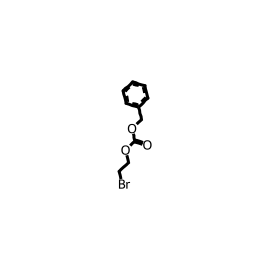 O=C(OCCBr)OCc1ccccc1